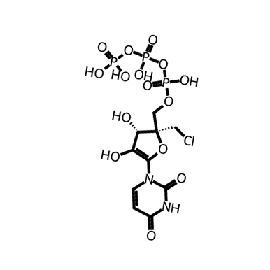 O=c1ccn(C2=C(O)[C@H](O)[C@@](CCl)(COP(=O)(O)OP(=O)(O)OP(=O)(O)O)O2)c(=O)[nH]1